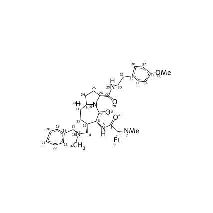 CC[C@@H](NC)C(=O)N[C@@H]1C(=O)N2[C@@H](CC[C@@H]1CN(C)Cc1ccccc1)CC[C@H]2C(=O)NCCc1ccc(OC)cc1